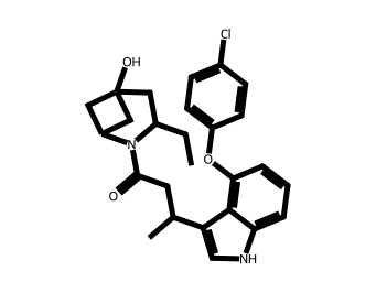 CCC1CC2(O)CC(C2)N1C(=O)CC(C)c1c[nH]c2cccc(Oc3ccc(Cl)cc3)c12